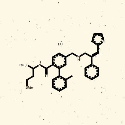 CSCCC(NC(=O)c1ccc(CNC/C(=C\c2ccco2)c2ccccc2)cc1-c1ccccc1C)C(=O)O.[LiH]